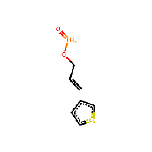 C=CCO[PH2]=O.c1ccsc1